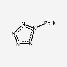 [PbH][n]1nnnn1